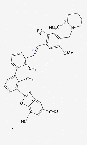 COc1cc(/C=C/c2cccc(-c3cccc(-c4nc5cc(C=O)cc(C#N)c5o4)c3C)c2C)c(C(F)(F)F)cc1CN1CCCC[C@H]1C(=O)O